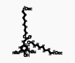 CCCCCCCCCCCCCCCCCCOP(=O)(Cc1cc(CCCC)c(O)c(CCCC)c1)OCCCCCCCCCCCCCCCCCC